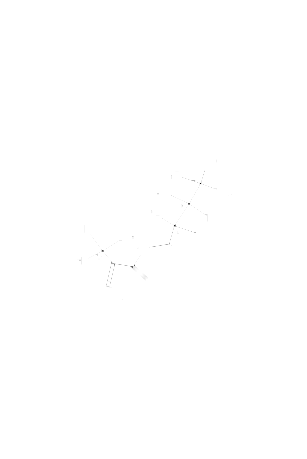 C=C(C(=O)OCC(F)(F)C(F)(F)C(F)(F)F)C(F)(F)F